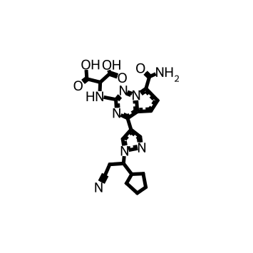 N#CCC(C1CCCC1)n1cc(-c2nc(NC(C(=O)O)C(=O)O)nn3c(C(N)=O)ccc23)cn1